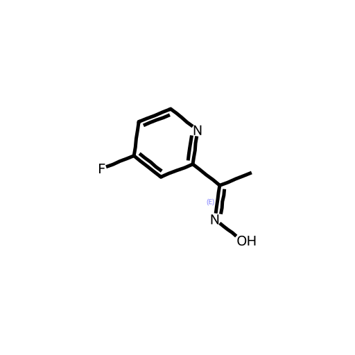 C/C(=N\O)c1cc(F)ccn1